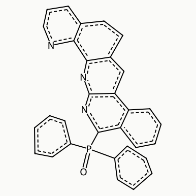 O=P(c1ccccc1)(c1ccccc1)c1nc2nc3c(ccc4cccnc43)cc2c2ccccc12